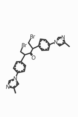 Cc1cn(-c2ccc(C(CBr)C(=O)C(CBr)c3ccc(-n4cnc(C)c4)cc3)cc2)cn1